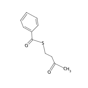 CC(=O)CCSC(=O)c1ccccc1